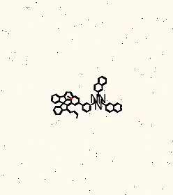 C\C=C/C=C1\C(=C2/C=C(c3cccc(-c4nc(-c5ccc6ccccc6c5)nc(-c5ccc6ccccc6c5)n4)c3)C=CC2C)C2(c3ccccc31)c1ccccc1-c1ccccc12